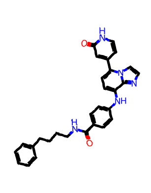 O=C(NCCCCc1ccccc1)c1ccc(Nc2ccc(-c3cc[nH]c(=O)c3)n3ccnc23)cc1